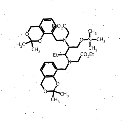 CCOC(=O)CN(Cc1cccc2c1OC(C)(C)OC2)C(CC)C(CO[Si](C)(C)C)N(CC(=O)OCC)Cc1cccc2c1OC(C)(C)OC2